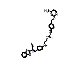 CN(CCOC(=O)NCc1ccc(COc2nccc(N)n2)cc1)c1ccc(/C=C(\C#N)c2nc3ccccc3s2)cc1